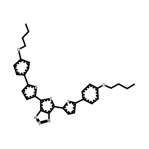 CCCCOc1ccc(-c2ccc(-c3sc(-c4ccc(-c5ccc(OCCCC)cc5)s4)c4c3N=S=N4)s2)cc1